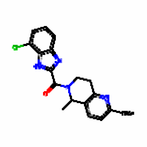 COc1ccc2c(n1)CCN(C(=O)c1nc3cccc(Cl)c3[nH]1)C2C